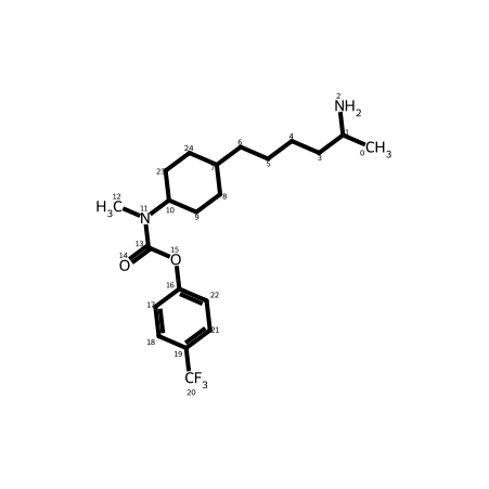 CC(N)CCCCC1CCC(N(C)C(=O)Oc2ccc(C(F)(F)F)cc2)CC1